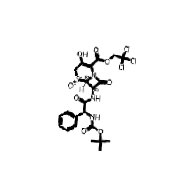 CC(C)(C)OC(=O)NC(C(=O)N[C@@H]1C(=O)N2C(C(=O)OCC(Cl)(Cl)Cl)=C(O)C[S+]([O-])[C@H]12)c1ccccc1